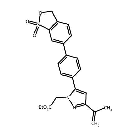 C=C(C)c1cc(-c2ccc(-c3ccc4c(c3)S(=O)(=O)OC4)cc2)n(CC(=O)OCC)n1